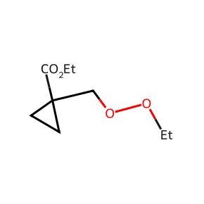 CCOOCC1(C(=O)OCC)CC1